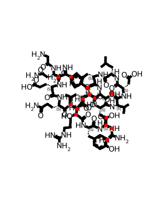 CC(C)C[C@H](NC(=O)[C@H](CC(=O)O)NC(=O)[C@@H](NC(=O)[C@H](CCCNC(=N)N)NC(=O)[C@H](Cc1ccccc1)NC(=O)[C@H](CO)NC(=O)[C@H](CCC(N)=O)NC(=O)[C@H](CCC(=O)O)NC(=O)[C@H](CC(N)=O)NC(=O)CN)C(C)C)C(=O)N[C@@H](CCCNC(=N)N)C(=O)N[C@H](C(=O)N[C@@H](CC(C)C)C(=O)N[C@@H](CCCNC(=N)N)C(=O)N[C@@H](Cc1ccc(O)cc1)C(=O)N[C@@H](C)C(=O)O)[C@@H](C)O